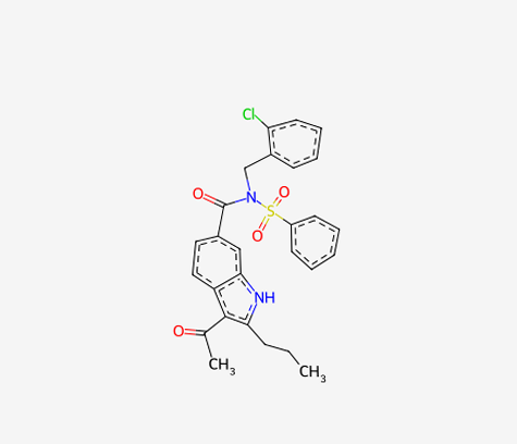 CCCc1[nH]c2cc(C(=O)N(Cc3ccccc3Cl)S(=O)(=O)c3ccccc3)ccc2c1C(C)=O